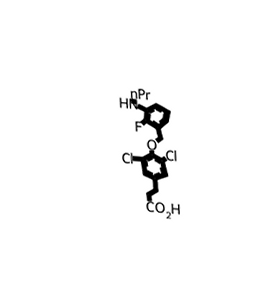 CCCNc1cccc(COc2c(Cl)cc(CCC(=O)O)cc2Cl)c1F